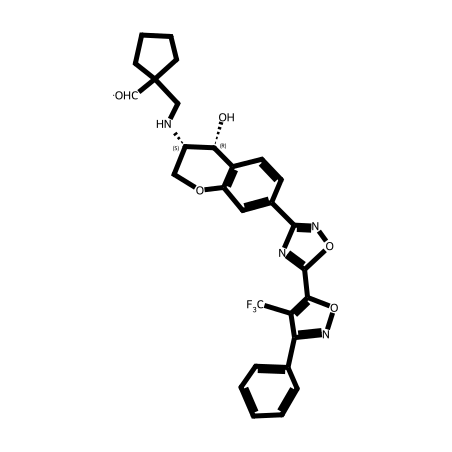 O=[C]C1(CN[C@H]2COc3cc(-c4noc(-c5onc(-c6ccccc6)c5C(F)(F)F)n4)ccc3[C@H]2O)CCCC1